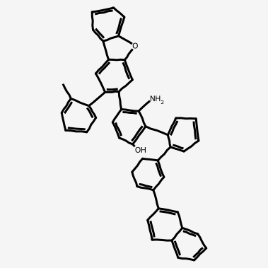 Cc1ccccc1-c1cc2c(cc1-c1ccc(O)c(-c3ccccc3C3=CC(c4ccc5ccccc5c4)=CCC3)c1N)oc1ccccc12